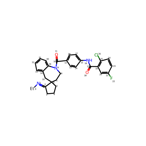 CC/N=C1\CCCC12CCN(C(=O)c1ccc(NC(=O)c3cc(F)ccc3Cl)cc1)c1ccccc1C2